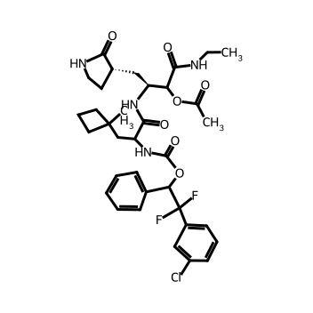 CCNC(=O)C(OC(C)=O)[C@H](C[C@@H]1CCNC1=O)NC(=O)C(CC1(C)CCC1)NC(=O)OC(c1ccccc1)C(F)(F)c1cccc(Cl)c1